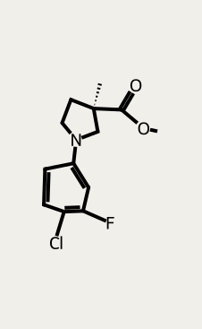 COC(=O)[C@]1(C)CCN(c2ccc(Cl)c(F)c2)C1